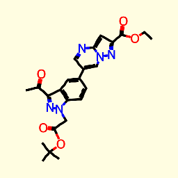 CCOC(=O)c1cc2ncc(-c3ccc4c(c3)c(C(C)=O)nn4CC(=O)OC(C)(C)C)cn2n1